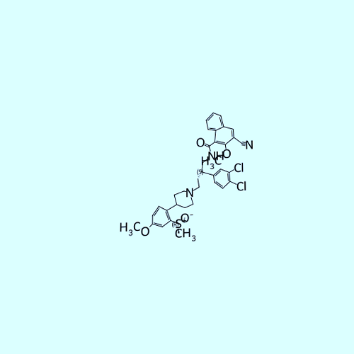 COc1ccc(C2CCN(CC[C@H](CNC(=O)c3c(OC)c(C#N)cc4ccccc34)c3ccc(Cl)c(Cl)c3)CC2)c([S@+](C)[O-])c1